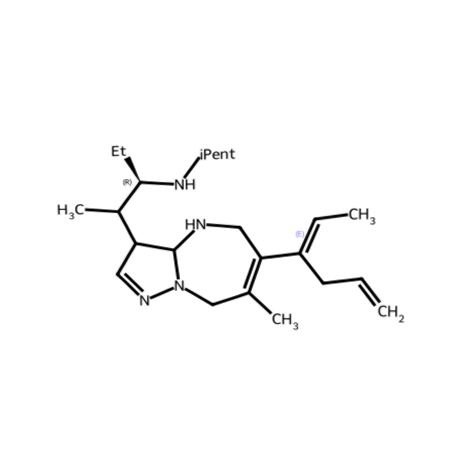 C=CC/C(=C\C)C1=C(C)CN2N=CC(C(C)[C@@H](CC)NC(C)CCC)C2NC1